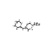 CCC(C)N1CCN(CC2CCOCC2)CC1